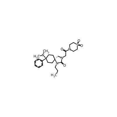 CCCN1C(=O)N(CC(=O)N2CCS(=O)(=O)CC2)C[C@]12CC[C@](c1ccccc1)(N(C)C)CC2